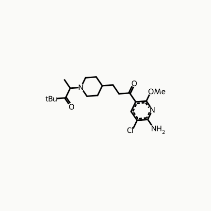 COc1nc(N)c(Cl)cc1C(=O)CCC1CCN(C(C)C(=O)C(C)(C)C)CC1